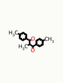 Cc1ccc(C(=O)C(C)C(=O)c2ccc(C)cc2)cc1